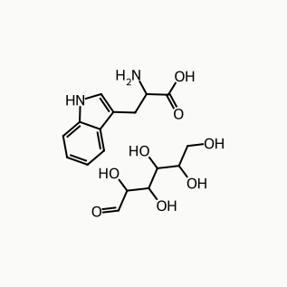 NC(Cc1c[nH]c2ccccc12)C(=O)O.O=CC(O)C(O)C(O)C(O)CO